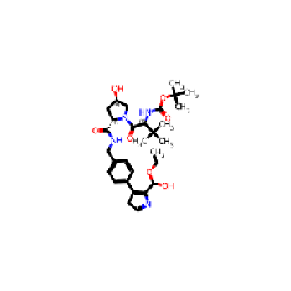 CCOC(O)C1=C(c2ccc(CNC(=O)[C@@H]3C[C@@H](O)CN3C(=O)[C@@H](NC(=O)OC(C)(C)C)C(C)(C)C)cc2)CC=N1